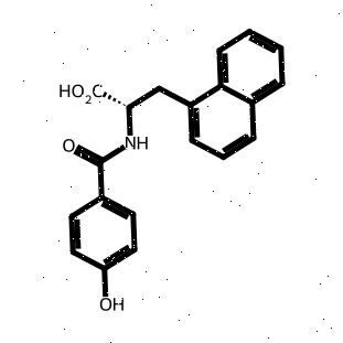 O=C(N[C@@H](Cc1cccc2ccccc12)C(=O)O)c1ccc(O)cc1